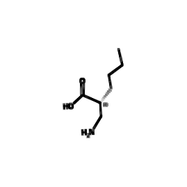 CCCC[C@H](CN)C(=O)O